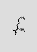 NCCCC(N)C(=O)F